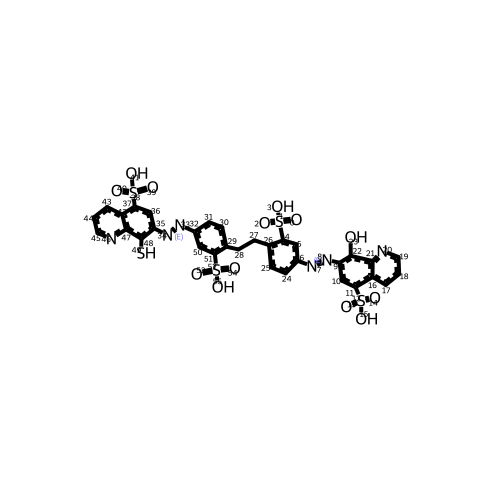 O=S(=O)(O)c1cc(/N=N/c2cc(S(=O)(=O)O)c3cccnc3c2O)ccc1CCc1ccc(/N=N/c2cc(S(=O)(=O)O)c3cccnc3c2S)cc1S(=O)(=O)O